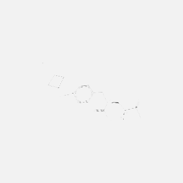 CC(=O)[C@@H](N)C[C@H](Cc1ccc(O[C@H]2C[C@@H]([18F])C2)cc1)C(=O)O